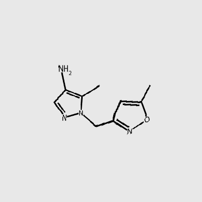 Cc1cc(Cn2ncc(N)c2C)no1